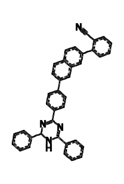 N#Cc1ccccc1-c1ccc2ccc(-c3ccc(C4=NC(c5ccccc5)NC(c5ccccc5)=N4)cc3)cc2c1